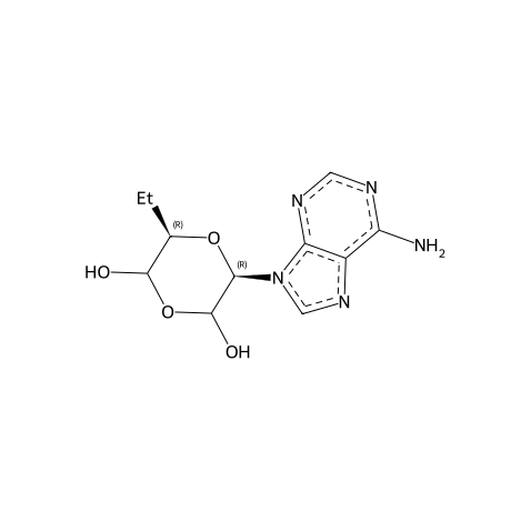 CC[C@H]1O[C@@H](n2cnc3c(N)ncnc32)C(O)OC1O